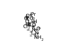 CC(C)O[P@@]1(=O)OC[C@H]2O[C@@H](n3ccc(N)nc3=O)[C@](C)(Cl)[C@@H]2O1